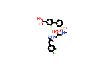 CN(CC(O)CNC(C)(C)Cc1ccc(Cl)c(F)c1)S(=O)(=O)c1cccc(-c2ccc(C(=O)O)cc2F)c1